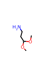 CO[C](CCN)OC